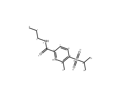 CCCNC(=O)c1ccc(S(=O)(=O)C(C)C)c(C)n1